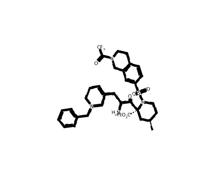 CCOC(=O)[C@@]1(C(=O)C(N)CC2=CCCN(Cc3ccccc3)C2)C[C@H](C)CCN1S(=O)(=O)c1ccc2c(c1)CN(C(=O)C(F)(F)F)CC2